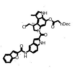 CCCCCCCCCCCC(=O)Oc1cc2c(c3c(C)c[nH]c13)[C@H](CCl)CN2C(=O)c1cc2cc(NC(=O)c3cc4ccccc4o3)ccc2[nH]1